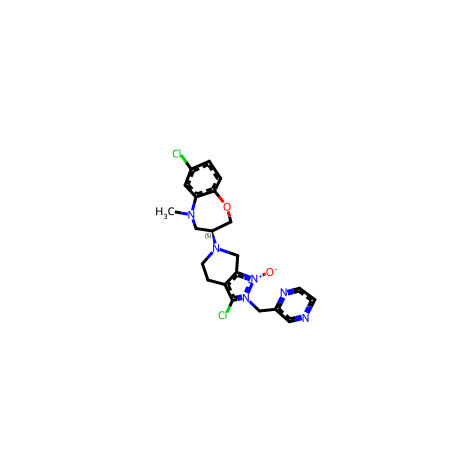 CN1C[C@H](N2CCc3c(Cl)n(Cc4cnccn4)[n+]([O-])c3C2)COc2ccc(Cl)cc21